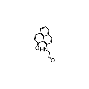 O=CCNc1ccc2cccc3c2c1C(=O)C=C3